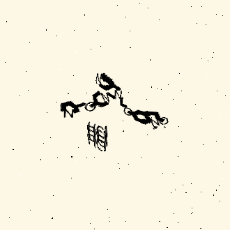 Cl.Cl.Cl.Cl.Cn1c(=O)ccc2cc(OCCCN(CCN3CCC(OCc4cccnc4)CC3)Cc3ccncc3)ccc21